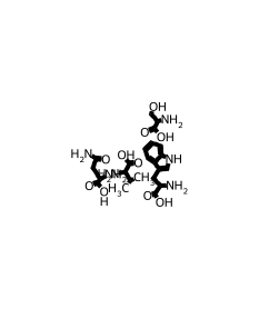 CC(C)C(N)C(=O)O.NC(=O)CC(N)C(=O)O.NC(CO)C(=O)O.NC(Cc1c[nH]c2ccccc12)C(=O)O